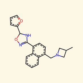 CC1CN(Cc2ccc(C3=NOC(c4ccco4)N3)c3ccccc23)C1